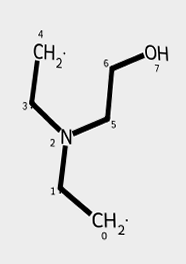 [CH2][CH]N([CH][CH2])CCO